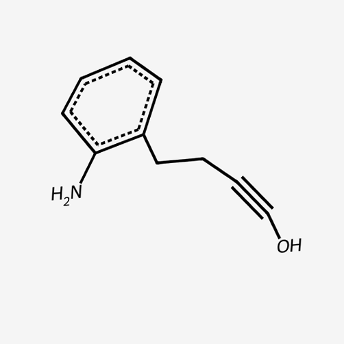 Nc1ccccc1CCC#CO